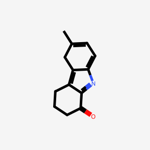 CC1=CC=C2N=C3C(=O)CCCC3=C2C1